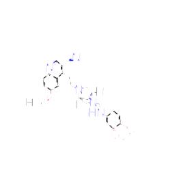 COc1ccc2ncc(C#N)c(CCN3C[C@H]4C[C@@H]3CN4CNc3ccc4c(c3)OCCO4)c2c1